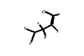 FC(Cl)=C(F)C(F)(F)C(F)F